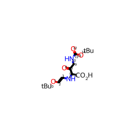 CC(C)(C)OC=CNC(C(=O)O)C(=O)CNC(=O)OC(C)(C)C